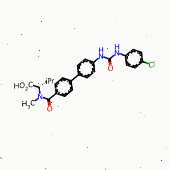 CC(C)[C@@H](C(=O)O)N(C)C(=O)c1ccc(-c2ccc(NC(=O)Nc3ccc(Cl)cc3)cc2)cc1